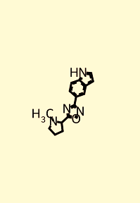 CN1CCCC1c1nc(-c2ccc3[nH]ccc3c2)no1